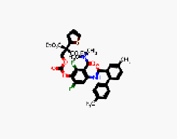 CCOC(=O)C(COC(=O)Oc1c(F)cc(NC(=O)c2cc(C)ccc2-c2ccc(C(F)(F)F)cc2)c(C(=O)N(C)C)c1F)(C(=O)OCC)c1cccs1